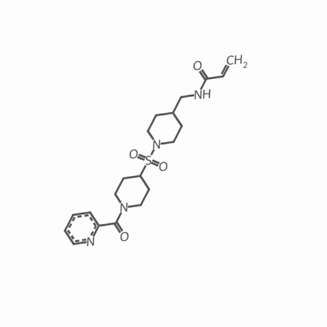 C=CC(=O)NCC1CCN(S(=O)(=O)C2CCN(C(=O)c3ccccn3)CC2)CC1